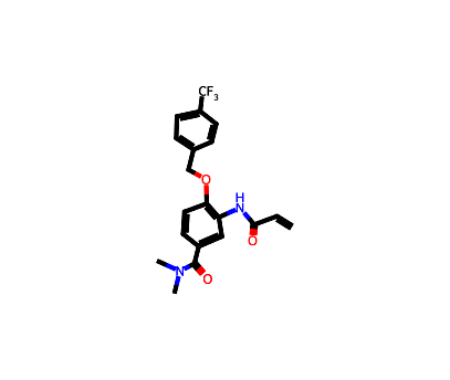 C=CC(=O)Nc1cc(C(=O)N(C)C)ccc1OCc1ccc(C(F)(F)F)cc1